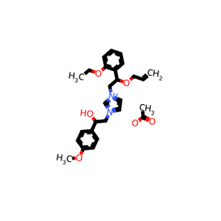 C=CCOC(C[n+]1ccn(CC(O)c2ccc(OC)cc2)c1)c1ccccc1OCC.CC(=O)[O-]